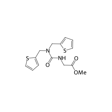 COC(=O)CNC(=O)N(Cc1cccs1)Cc1cccs1